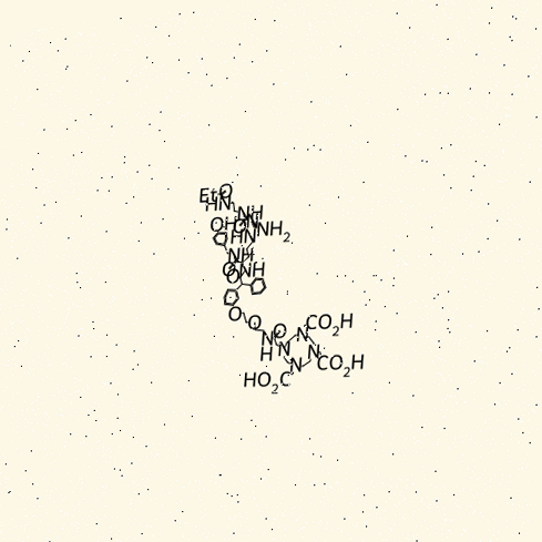 CCC(=O)NCCNC(=O)/N=C(/N)NCCC[C@@H](NC(=O)C(c1ccccc1)c1cccc(OCCOCCNC(=O)CN2CCN(CC(=O)O)CCN(CC(=O)O)CCN(CC(=O)O)CC2)c1)C(=O)NCc1ccc(O)cc1